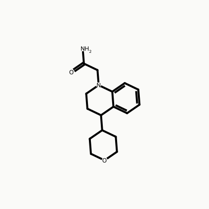 NC(=O)CN1CCC(C2CCOCC2)c2ccccc21